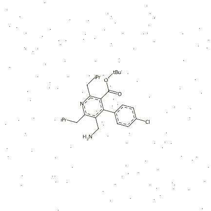 CC(C)Cc1nc(CC(C)C)c(C(=O)OC(C)(C)C)c(-c2ccc(Cl)cc2)c1CN